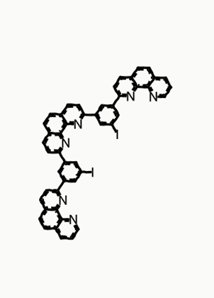 Ic1cc(-c2ccc3ccc4cccnc4c3n2)cc(-c2ccc3ccc4ccc(-c5cc(I)cc(-c6ccc7ccc8cccnc8c7n6)c5)nc4c3n2)c1